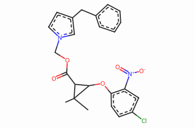 CC1(C)C(Oc2ccc(Cl)cc2[N+](=O)[O-])C1C(=O)OCn1ccc(Cc2ccccc2)c1